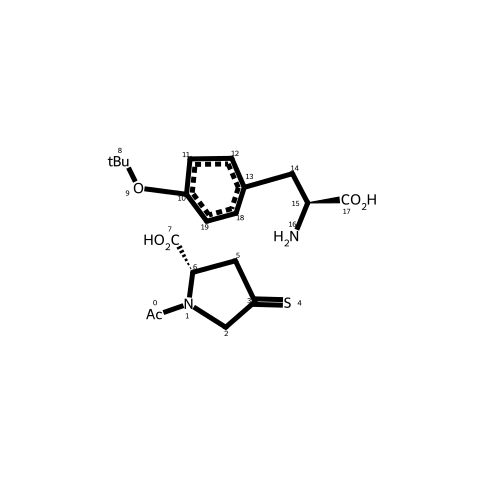 CC(=O)N1CC(=S)C[C@H]1C(=O)O.CC(C)(C)Oc1ccc(C[C@H](N)C(=O)O)cc1